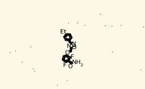 CCc1ccc(-c2noc(COc3ccc(F)c(C(N)=O)c3F)n2)cc1